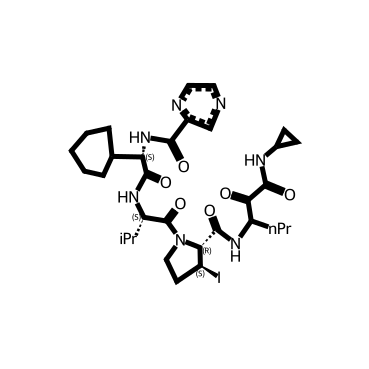 CCCC(NC(=O)[C@@H]1[C@@H](I)CCN1C(=O)[C@@H](NC(=O)[C@@H](NC(=O)c1cnccn1)C1CCCCC1)C(C)C)C(=O)C(=O)NC1CC1